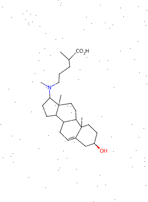 CC(CCCN(C)C1CCC2C3CC=C4C[C@H](O)CCC4(C)C3CCC21C)C(=O)O